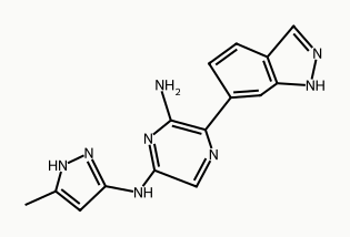 Cc1cc(Nc2cnc(-c3ccc4cn[nH]c4c3)c(N)n2)n[nH]1